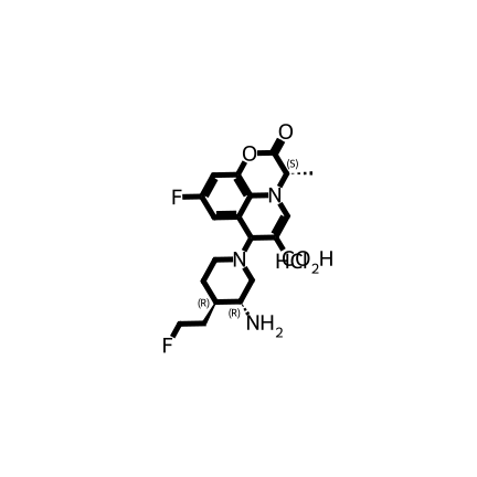 C[C@H]1C(=O)Oc2cc(F)cc3c2N1C=C(C(=O)O)C3N1CC[C@H](CCF)[C@@H](N)C1.Cl